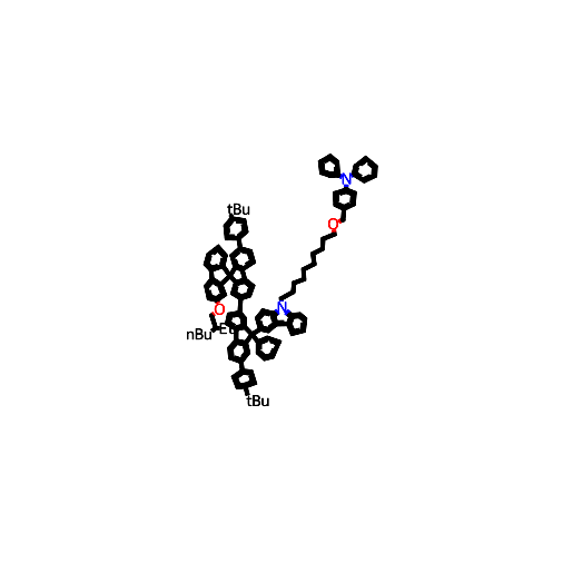 CCCCC(CC)COc1ccc2c(c1)C1(c3ccccc3-2)c2cc(-c3ccc(C(C)(C)C)cc3)ccc2-c2ccc(-c3ccc4c(c3)C(c3ccccc3)(c3ccc5c(c3)c3ccccc3n5CCCCCCCCCCOCc3ccc(N(c5ccccc5)c5ccccc5)cc3)c3cc(-c5ccc(C(C)(C)C)cc5)ccc3-4)cc21